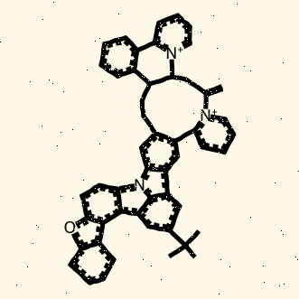 C=C1CC2C(CCc3cc4c(cc3-c3cccc[n+]31)c1cc(C(C)(C)C)cc3c5c6c(ccc5n4c13)oc1ccccc16)c1ccccc1-c1cccc[n+]12